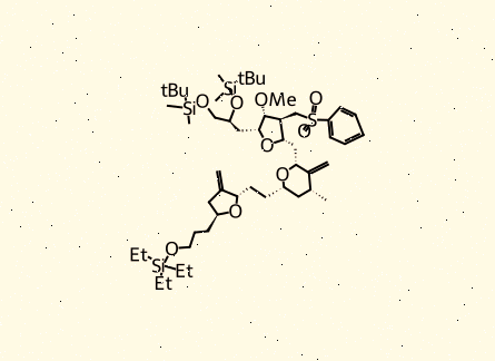 C=C1C[C@H](CCCO[Si](CC)(CC)CC)O[C@H]1CC[C@H]1C[C@@H](C)C(=C)[C@@H](C[C@@H]2O[C@H](C[C@@H](CO[Si](C)(C)C(C)(C)C)O[Si](C)(C)C(C)(C)C)[C@H](OC)[C@H]2CS(=O)(=O)c2ccccc2)O1